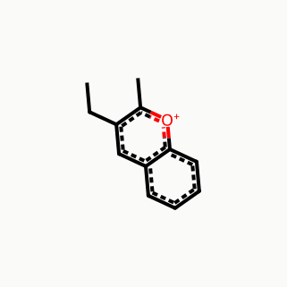 CCc1cc2ccccc2[o+]c1C